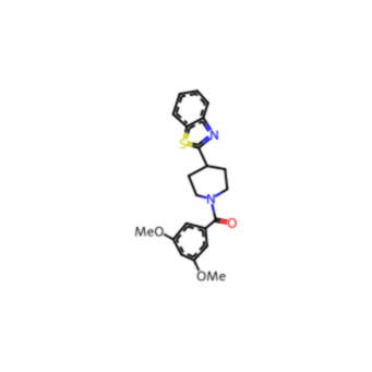 COc1cc(OC)cc(C(=O)N2CCC(c3nc4ccccc4s3)CC2)c1